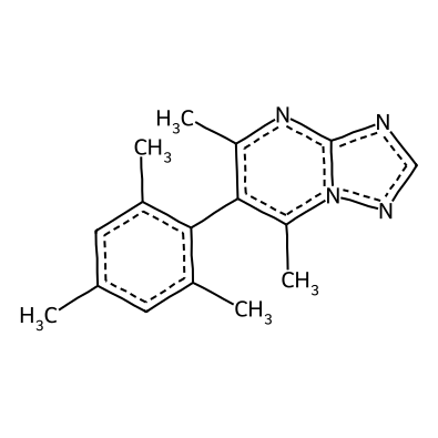 Cc1cc(C)c(-c2c(C)nc3ncnn3c2C)c(C)c1